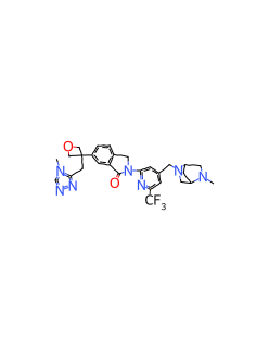 CN1CC2CC1CN2Cc1cc(N2Cc3ccc(C4(Cc5nncn5C)COC4)cc3C2=O)nc(C(F)(F)F)c1